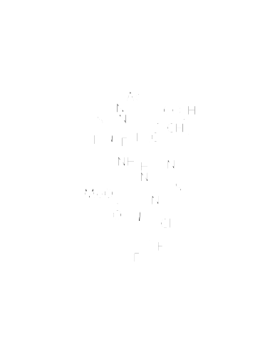 COC(=O)C1=C(CNCC(F)(F)[C@H]2SCN(C(C)=O)N2CCC(C)(C)C(=O)O)NC(c2nccs2)=N[C@H]1c1ccc(F)c(F)c1Cl